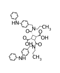 CCCN(Cc1ccc(Nc2ccccc2)cc1)C(=O)[C@H]1[C@H](C(=O)O)[C@H](C(=O)N(CCC)Cc2ccc(Nc3ccccc3)cc2)[C@@H]1C(=O)O